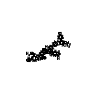 CC1(C)CCC(CN2CCN(c3ccc(C(=O)NS(=O)(=O)c4ccc(NC[C@@H]5OCCN(C6COC6)CC5C[SiH3])c([N+](=O)[O-])c4)c(-n4ncc5nc6[nH]ccc6cc54)c3)CC2)=C(c2ccc(Cl)cc2)C1